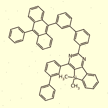 C[Si]1(C)c2ccccc2-c2nc(-c3cccc(-c4cccc(-c5c6ccccc6c(-c6ccccc6)c6ccccc56)c4)c3)nc(-c3cccc(-c4ccccc4)c3)c21